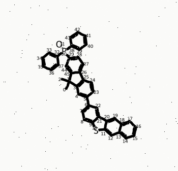 CC1(C)c2cc(-c3ccc4sc5cc6ccccc6cc5c4c3)ccc2-c2ccc(P(=O)(c3ccccc3)c3ccccc3)cc21